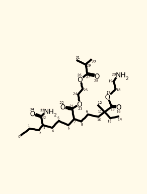 CCCC(CCCC(CCCC(C)(CC)C(=O)OCCN)C(=O)OCCOC(=O)C(C)C)C(N)=O